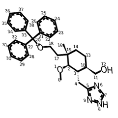 CO[C@@H]1[C@@H](Cc2nc[nH]n2)[C@H](CO)CC[C@@]1(C)CCOC(c1ccccc1)(c1ccccc1)c1ccccc1